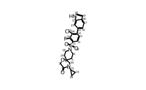 O=C1COC2(CCN(S(=O)(=O)c3ccc(-c4ccc5cc[nH]c5c4)c(Cl)c3F)CC2)CN1C1CC1